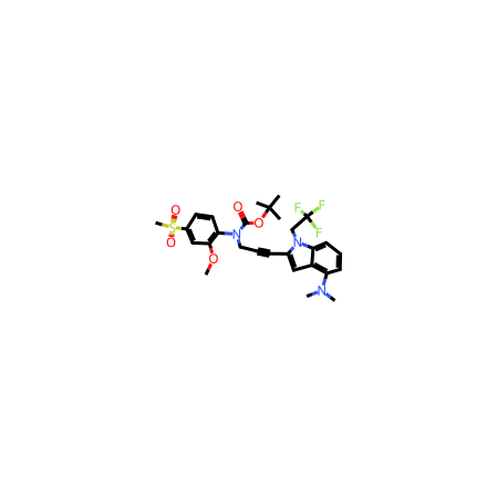 COc1cc(S(C)(=O)=O)ccc1N(CC#Cc1cc2c(N(C)C)cccc2n1CC(F)(F)F)C(=O)OC(C)(C)C